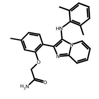 Cc1ccc(-c2nc3ccccn3c2Nc2c(C)cccc2C)c(OCC(N)=O)c1